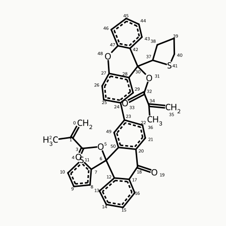 C=C(C)C(=O)OC1(c2cccs2)c2ccccc2C(=O)c2ccc(-c3ccc4c(c3)C(OC(=O)C(=C)C)(C3CCCS3)c3ccccc3O4)cc21